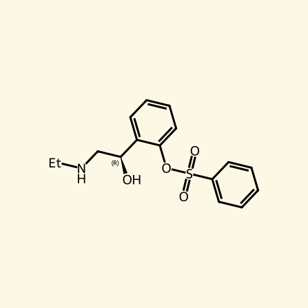 CCNC[C@H](O)c1ccccc1OS(=O)(=O)c1ccccc1